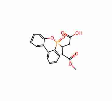 COC(=O)CC(CC(=O)O)P1(=O)Oc2ccccc2-c2ccccc21